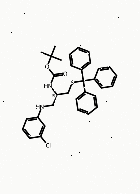 CC(C)(C)OC(=O)N[C@H](CNc1cccc(Cl)c1)CSC(c1ccccc1)(c1ccccc1)c1ccccc1